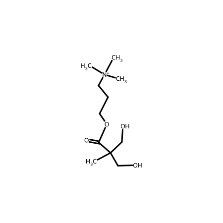 CC(CO)(CO)C(=O)OCCC[N+](C)(C)C